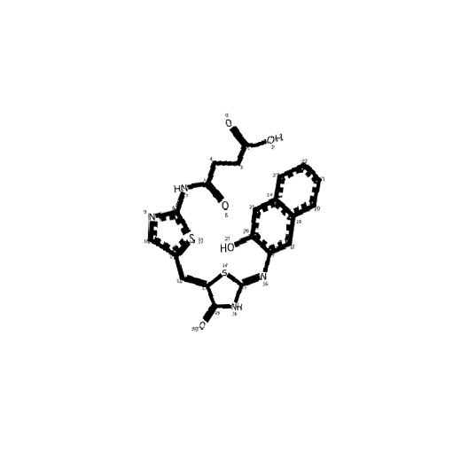 O=C(O)CCC(=O)Nc1ncc(C=C2SC(=Nc3cc4ccccc4cc3O)NC2=O)s1